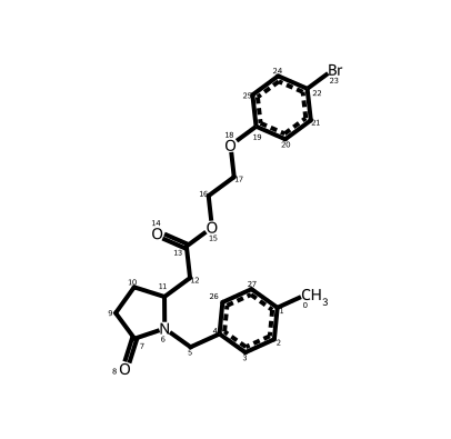 Cc1ccc(CN2C(=O)CCC2CC(=O)OCCOc2ccc(Br)cc2)cc1